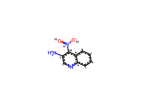 Nc1cnc2ccccc2c1[N+](=O)[O-]